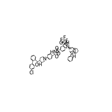 O=C(NS(=O)(=O)c1ccc(N[C@@H](CSc2ccccc2)C[C@H]2CCCN2)c(S(=O)(=O)C(F)(F)F)c1)c1ccc(N2CCC(C(O)c3ccccc3-c3ccc(Cl)cc3)CC2)cc1